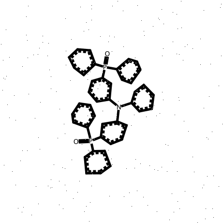 O=P(c1ccccc1)(c1ccccc1)c1cccc(N(c2ccccc2)c2cccc(P(=O)(c3ccccc3)c3ccccc3)c2)c1